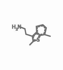 Cc1sc2c(C)cccc2c1CCN